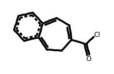 O=C(Cl)C1=CC=c2ccccc2=CC1